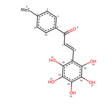 CSc1ccc(C(=O)C=Cc2c(O)c(O)c(O)c(O)c2O)cc1